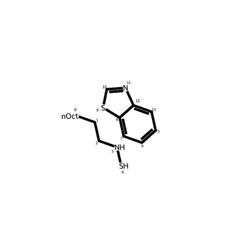 CCCCCCCCCCNS.c1ccc2scnc2c1